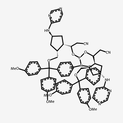 COc1ccc(C(OC[C@@H]2C[C@@H](Nc3ccncn3)C[C@@H]2C(CC#N)OP(OC(CC#N)[C@H]2C[C@H](Nc3ccncn3)C[C@H]2COC(c2ccccc2)(c2ccc(OC)cc2)c2ccc(OC)cc2)N(C(C)C)C(C)C)(c2ccccc2)c2ccc(OC)cc2)cc1